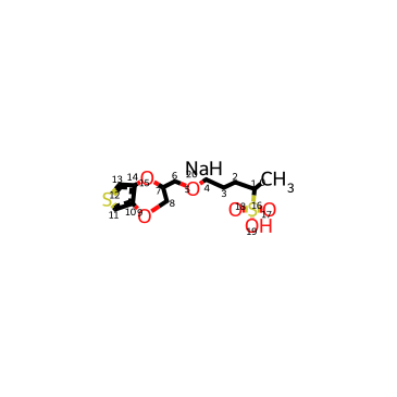 CC(CCCOCC1COc2cscc2O1)S(=O)(=O)O.[NaH]